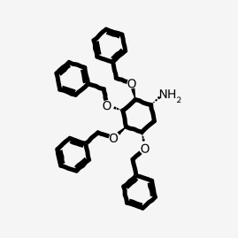 N[C@@H]1C[C@H](OCc2ccccc2)[C@@H](OCc2ccccc2)[C@H](OCc2ccccc2)[C@H]1OCc1ccccc1